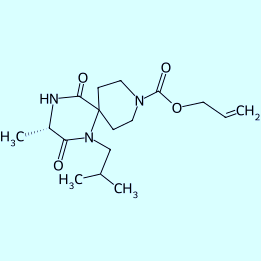 C=CCOC(=O)N1CCC2(CC1)C(=O)N[C@@H](C)C(=O)N2CC(C)C